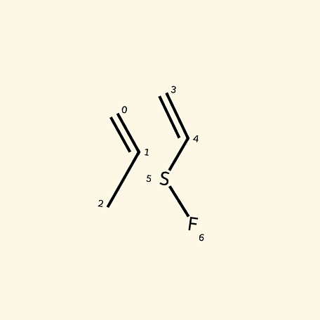 C=CC.C=CSF